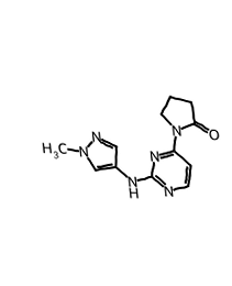 Cn1cc(Nc2nccc(N3CCCC3=O)n2)cn1